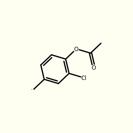 [CH2]c1ccc(OC(C)=O)c(Cl)c1